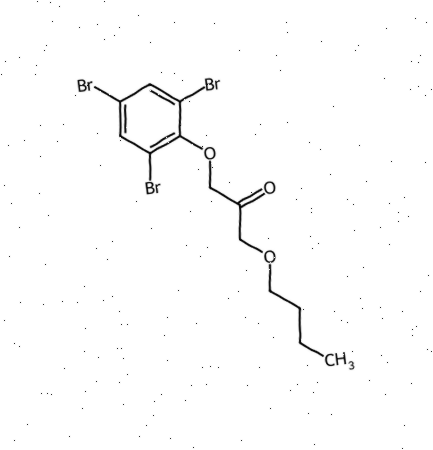 CCCCOCC(=O)COc1c(Br)cc(Br)cc1Br